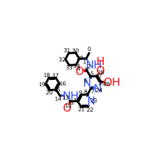 CC(NC(=O)c1nc(-c2cc(C(=O)NCc3ccccc3)ccn2)nc(O)c1O)C1CCCCC1